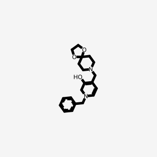 OC1=C(CN2CCC3(CC2)OCCO3)C=CN(Cc2ccccc2)C1